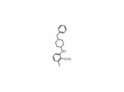 O=Cc1c(F)cccc1NC1CCN(Cc2ccccc2)CC1